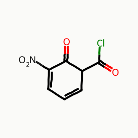 O=C(Cl)C1C=CC=C([N+](=O)[O-])C1=O